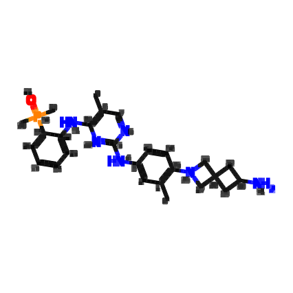 Cc1cc(Nc2ncc(C)c(Nc3ccccc3P(C)(C)=O)n2)ccc1N1CC2(CC(N)C2)C1